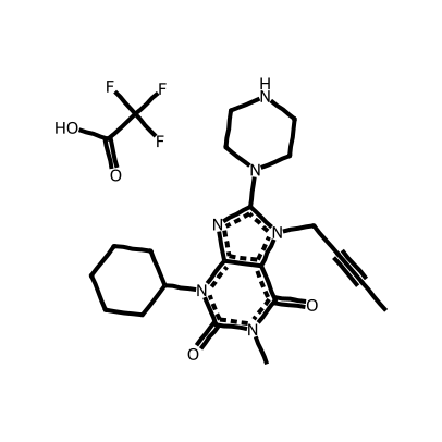 CC#CCn1c(N2CCNCC2)nc2c1c(=O)n(C)c(=O)n2C1CCCCC1.O=C(O)C(F)(F)F